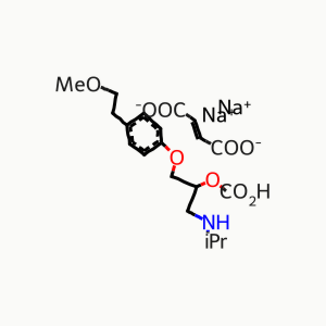 COCCc1ccc(OCC(CNC(C)C)OC(=O)O)cc1.O=C([O-])/C=C/C(=O)[O-].[Na+].[Na+]